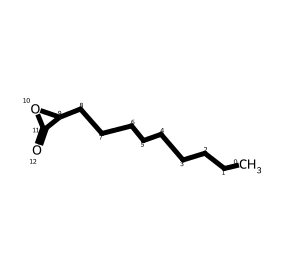 CCCCCCCCCC1OC1=O